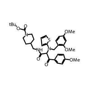 COc1ccc(C(=O)C(C(=O)NCC2CCN(C(=O)OC(C)(C)C)CC2)N(Cc2ccc(OC)cc2OC)c2cccs2)cc1